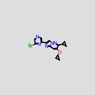 Brc1cncc(-c2cn3nc(C4CC4)c(OC4CC4)cc3n2)n1